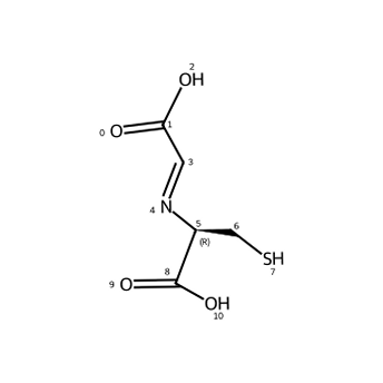 O=C(O)C=N[C@@H](CS)C(=O)O